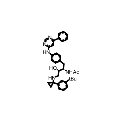 CC(=O)N[C@@H](Cc1ccc(Nc2cc(-c3ccccc3)ncn2)cc1)[C@H](O)CNC1(c2cccc(C(C)(C)C)c2)CC1